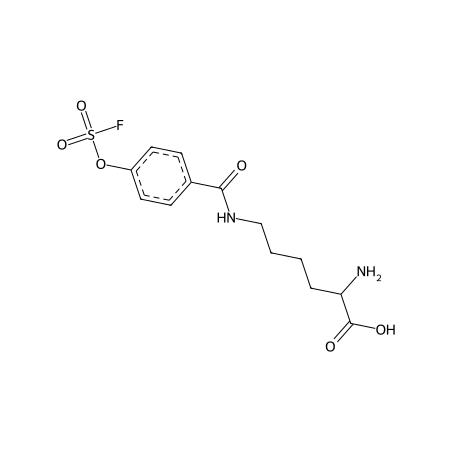 NC(CCCCNC(=O)c1ccc(OS(=O)(=O)F)cc1)C(=O)O